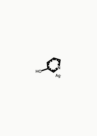 Oc1cccnc1.[Ag]